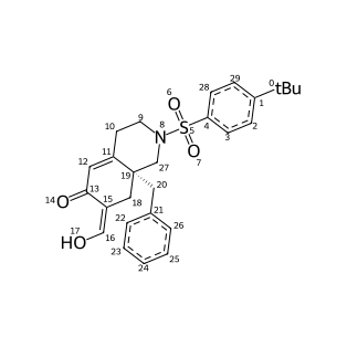 CC(C)(C)c1ccc(S(=O)(=O)N2CCC3=CC(=O)/C(=C\O)C[C@]3(Cc3ccccc3)C2)cc1